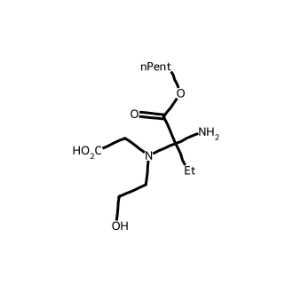 CCCCCOC(=O)C(N)(CC)N(CCO)CC(=O)O